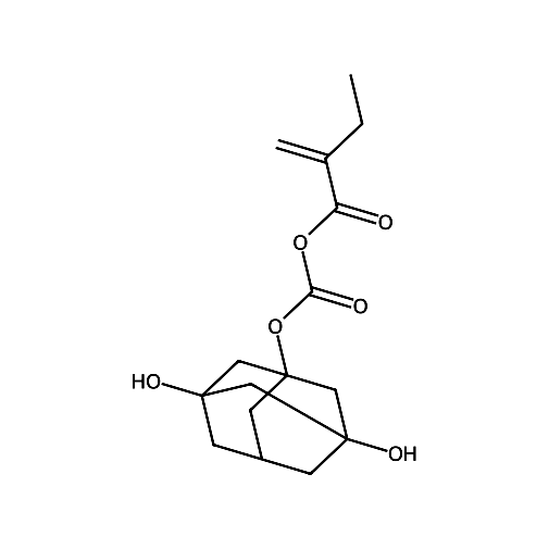 C=C(CC)C(=O)OC(=O)OC12CC3CC(O)(CC(O)(C3)C1)C2